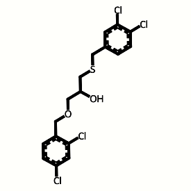 OC(COCc1ccc(Cl)cc1Cl)CSCc1ccc(Cl)c(Cl)c1